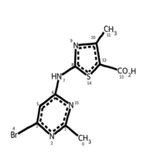 Cc1nc(Br)cc(Nc2nc(C)c(C(=O)O)s2)n1